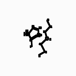 CCCOCCC.Cc1ncc[nH]1